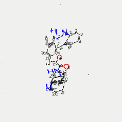 Nc1ccccc1-c1cccc2cc(C(=O)N[C@H]3CN4CCC3CC4)oc12